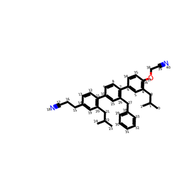 CC(C)Cc1cc(-c2ccc(-c3ccc(CCC#N)cc3CC(C)C)cc2Cc2ccccc2)ccc1OCC#N